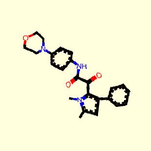 Cc1cc(-c2ccccc2)c(C(=O)C(=O)Nc2ccc(N3CCOCC3)cc2)n1C